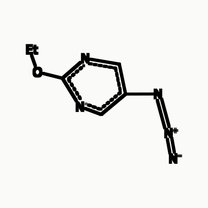 CCOc1ncc(N=[N+]=[N-])cn1